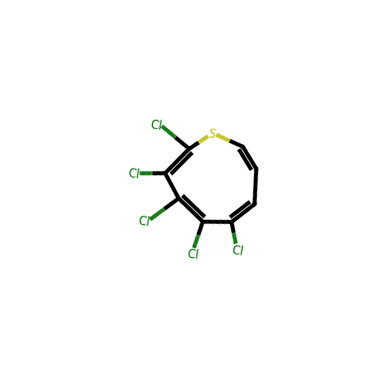 Clc1cccsc(Cl)c(Cl)c(Cl)c1Cl